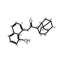 O=C(Cc1cccc2cccc(O)c12)C1C2CC3CC(C2)CC1C3